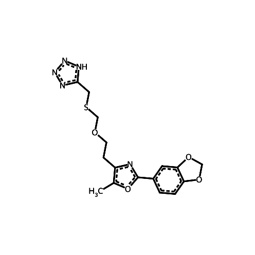 Cc1oc(-c2ccc3c(c2)OCO3)nc1CCOCSCc1nnn[nH]1